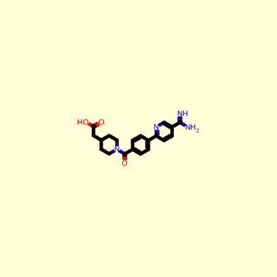 N=C(N)c1ccc(-c2ccc(C(=O)N3CCC(CC(=O)O)CC3)cc2)nc1